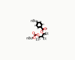 CCCCOC(=O)OC(CC)C(CC)C(CC)OC(=O)c1ccc(CCCC)cc1